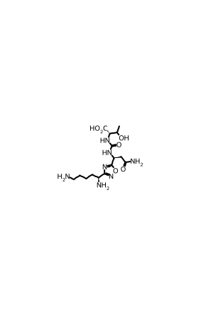 CC(O)[C@H](NC(=O)N[C@@H](CC(N)=O)c1nc([C@@H](N)CCCCN)no1)C(=O)O